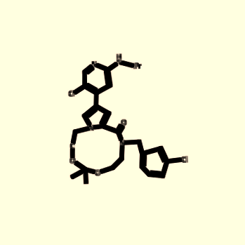 CC(C)Nc1cc(-c2cc3n(c2)CCOC(C)(C)OCCN(Cc2cccc(Cl)c2)C3=O)c(Cl)cn1